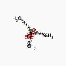 CCCCCCCCCCCCCCC(C(=O)CCCCCCCCCC)(C(=O)CCCCCCCCCC)C(=S)OCC(O)CO